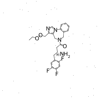 CCOOCc1ncn2c1CN(C(=O)C[C@H](N)Cc1cc(F)c(F)cc1F)Cc1ccccc1-2